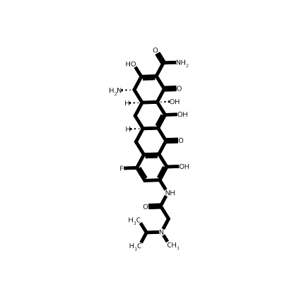 CC(C)N(C)CC(=O)Nc1cc(F)c2c(c1O)C(=O)C1=C(O)[C@]3(O)C(=O)C(C(N)=O)=C(O)[C@@H](N)[C@@H]3C[C@@H]1C2